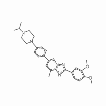 COc1ccc(-c2nc3c(C)cc(-c4ccc(N5CCN(C(C)C)CC5)cc4)cn3n2)cc1OC